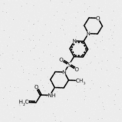 C=CC(=O)NC1CCN(S(=O)(=O)c2ccc(N3CCOCC3)nc2)C(C)C1